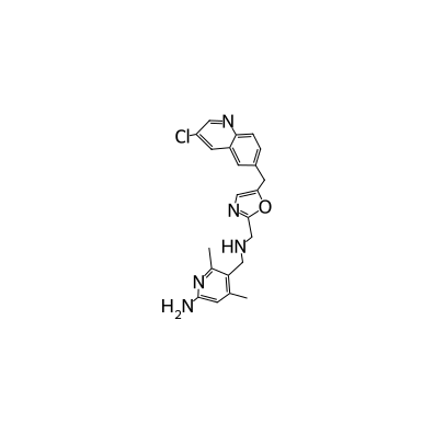 Cc1cc(N)nc(C)c1CNCc1ncc(Cc2ccc3ncc(Cl)cc3c2)o1